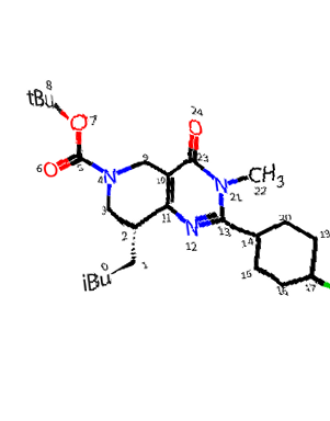 CC[C@H](C)C[C@@H]1CN(C(=O)OC(C)(C)C)Cc2c1nc(C1CCC(Cl)CC1)n(C)c2=O